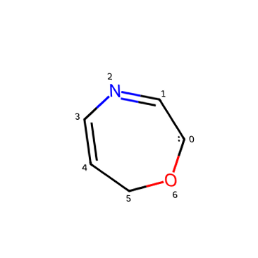 [C]1C=NC=CCO1